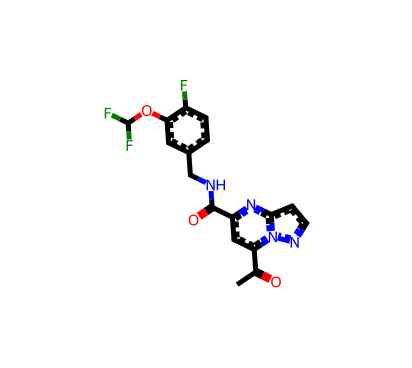 CC(=O)c1cc(C(=O)NCc2ccc(F)c(OC(F)F)c2)nc2ccnn12